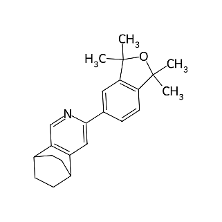 CC1(C)OC(C)(C)c2cc(-c3cc4c(cn3)C3CCC4CC3)ccc21